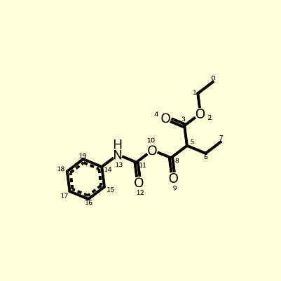 CCOC(=O)C(CC)C(=O)OC(=O)Nc1ccccc1